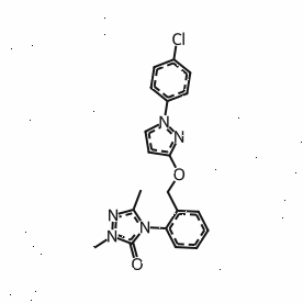 Cc1nn(C)c(=O)n1-c1ccccc1COc1ccn(-c2ccc(Cl)cc2)n1